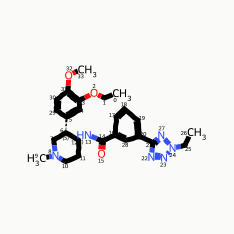 CCOc1cc([C@H]2CN(C)CC[C@H]2NC(=O)c2cccc(-c3nnn(CC)n3)c2)ccc1OC